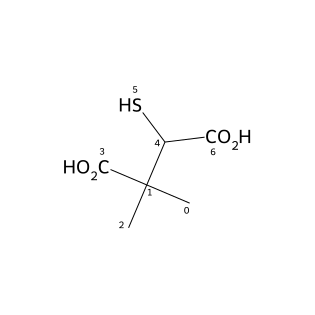 CC(C)(C(=O)O)C(S)C(=O)O